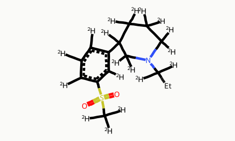 [2H]c1c([2H])c(C2([2H])C([2H])([2H])N(C([2H])([2H])CC)C([2H])([2H])C([2H])([2H])C2([2H])[2H])c([2H])c(S(=O)(=O)C([2H])([2H])[2H])c1[2H]